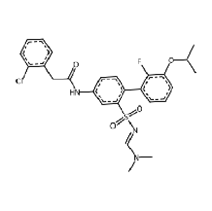 CC(C)Oc1cccc(-c2ccc(NC(=O)Cc3ccccc3Cl)cc2S(=O)(=O)/N=C/N(C)C)c1F